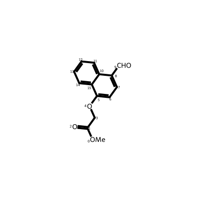 COC(=O)COc1ccc(C=O)c2ccccc12